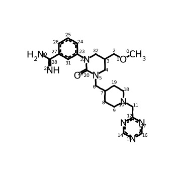 COCC1CN(CC2CCN(Cc3ncncn3)CC2)C(=O)N(c2cccc(C(=N)N)c2)C1